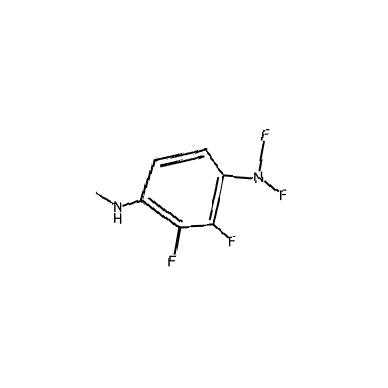 CNc1ccc(N(F)F)c(F)c1F